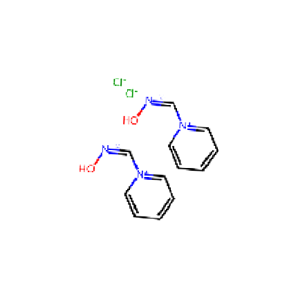 O/N=C\[n+]1ccccc1.O/N=C\[n+]1ccccc1.[Cl-].[Cl-]